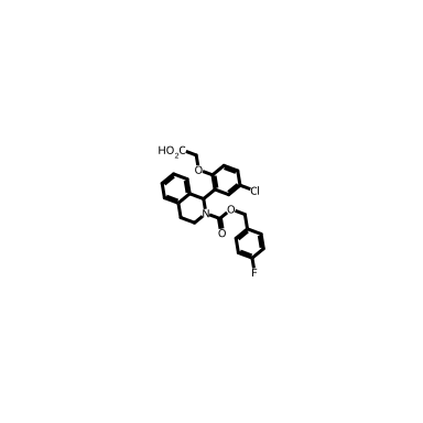 O=C(O)COc1ccc(Cl)cc1C1c2ccccc2CCN1C(=O)OCc1ccc(F)cc1